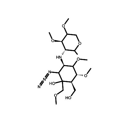 COCC1(O)C(N=[N+]=[N-])[C@@H](N[C@H]2C(C)OCC(OC)[C@@H]2OC)C(OC)[C@H](OC)[C@H]1CO